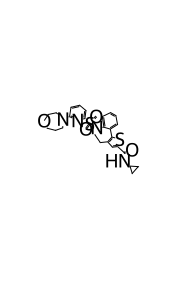 O=C(NC1CC1)c1cc2c(s1)-c1ccccc1N(S(=O)(=O)c1cccc(N3CCCOCC3)n1)CC2